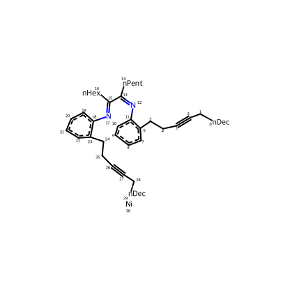 CCCCCCCCCCCC#CCCc1ccccc1N=C(CCCCC)C(CCCCCC)=Nc1ccccc1CCC#CCCCCCCCCCCC.[Ni]